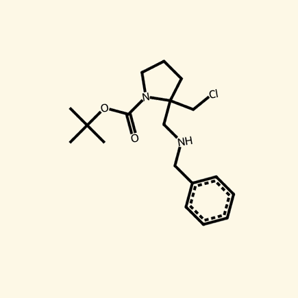 CC(C)(C)OC(=O)N1CCCC1(CCl)CNCc1ccccc1